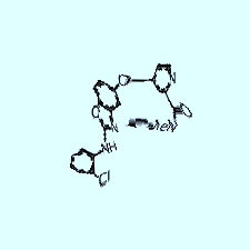 CNC(=O)c1cc(Oc2ccc3oc(Nc4ccccc4Cl)nc3c2)ccn1